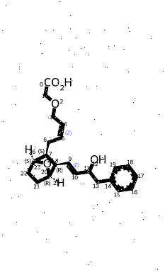 O=C(O)COC/C=C\C[C@H]1[C@@H](/C=C/C(O)Cc2ccccc2)[C@H]2CC[C@@H]1O2